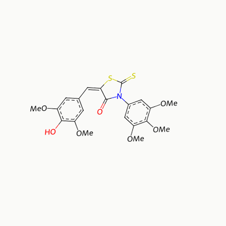 COc1cc(C=C2SC(=S)N(c3cc(OC)c(OC)c(OC)c3)C2=O)cc(OC)c1O